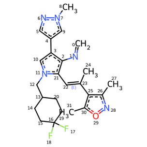 C=Nc1c(-c2cnn(C)c2)cn(CC2CCC(F)(F)CC2)c1/C=C(\C)c1c(C)noc1C